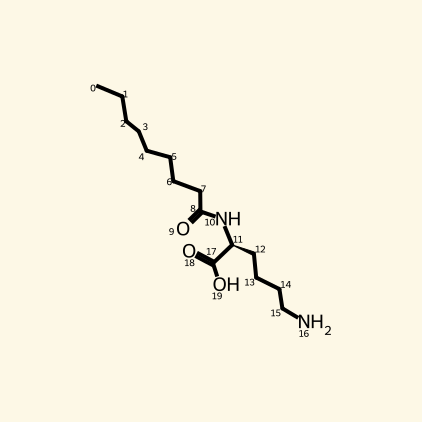 CCCCCCCCC(=O)N[C@@H](CCCCN)C(=O)O